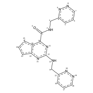 O=C(NCc1cccnn1)c1nc(NCc2cccnn2)nc2ccsc12